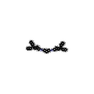 CC1(C)c2cc(/C=C/c3ccc4c(ccc5cc(/C=C/c6ccc7c(c6)C(C)(C)c6cc(N(c8ccc9ccccc9c8)c8ccc9ccccc9c8)ccc6-7)ccc54)c3)ccc2-c2ccc(N(c3ccc4ccccc4c3)c3ccc4ccccc4c3)cc21